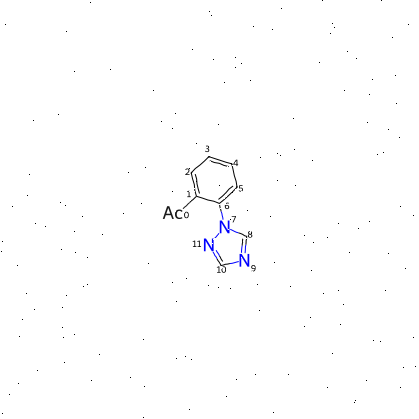 CC(=O)c1ccccc1-n1cncn1